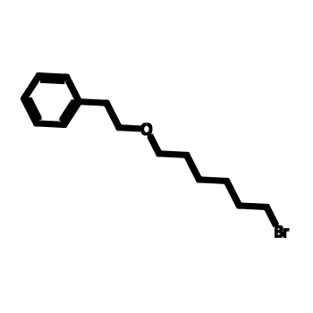 BrCCCCCCOCCc1ccccc1